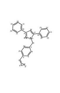 C=Cc1ccc(Cn2nc(-c3ccccc3)cc2-c2ccccc2)cc1